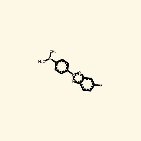 CN(C)c1ccc(-n2nc3ccc(F)cc3n2)cc1